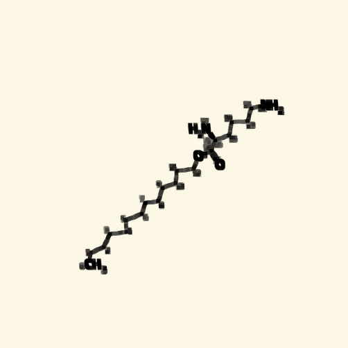 CCCCCCCCCCCCCOC(=O)[C@@H](N)CCCCN